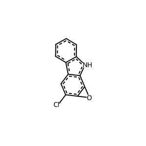 Clc1cc2c([nH]c3ccccc32)c2c1O2